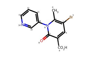 Cc1c(Br)cc(C(=O)O)c(=O)n1-c1cccnc1